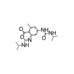 Cc1cc(NC(=O)NC(C)C)cc2nc(NC(C)C)oc(=O)c12